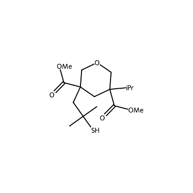 COC(=O)C1(CC(C)(C)S)COCC(C(=O)OC)(C(C)C)C1